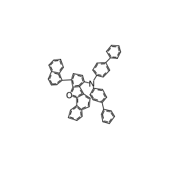 c1ccc(-c2ccc(N(c3ccc(-c4ccccc4)cc3)c3ccc(-c4cccc5ccccc45)c4oc5c6ccccc6ccc5c34)cc2)cc1